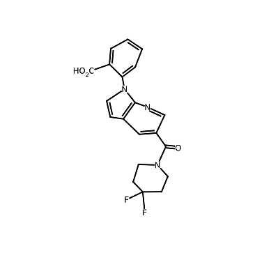 O=C(O)c1ccccc1-n1ccc2cc(C(=O)N3CCC(F)(F)CC3)cnc21